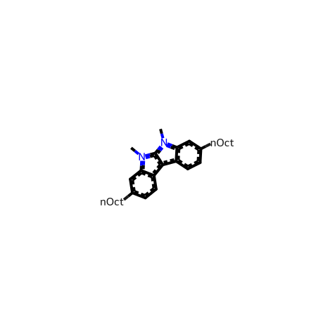 CCCCCCCCc1ccc2c3c4ccc(CCCCCCCC)cc4n(C)c3n(C)c2c1